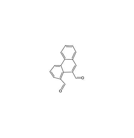 O=Cc1cccc2c1c(C=O)cc1ccccc12